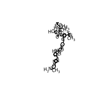 Cc1ncsc1-c1ccc(CNC(=O)[C@@H]2C[C@@H](O)CN2C(=O)[C@@H](NC(=O)C2(F)CC2)C(C)(C)C)c(OCC2CCN(C(=O)CC(=O)Nc3cccc(Sc4cnc(N5CCC(C)(CN)CC5)cn4)c3Cl)CC2)c1